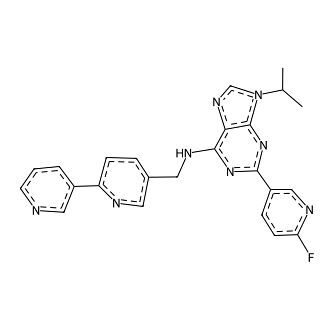 CC(C)n1cnc2c(NCc3ccc(-c4cccnc4)nc3)nc(-c3ccc(F)nc3)nc21